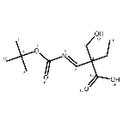 CCC(/C=N/C(=O)OC(C)(C)C)(CO)C(=O)O